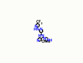 COc1cncc2nc(-c3ccnc(Nc4ccc(C(F)(F)F)cn4)c3)nc(N3CCNCC3)c12